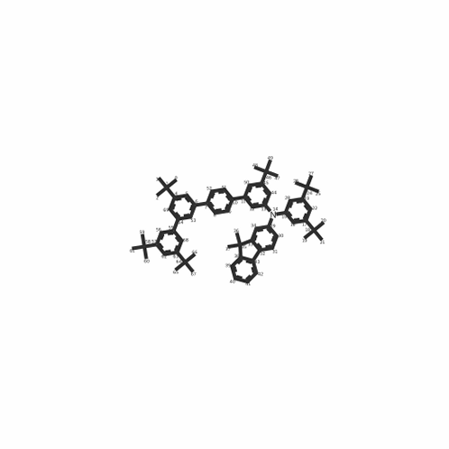 CC(C)(C)c1cc(-c2ccc(-c3cc(N(c4cc(C(C)(C)C)cc(C(C)(C)C)c4)c4ccc5c(c4)C(C)(C)c4ccccc4-5)cc(C(C)(C)C)c3)cc2)cc(-c2cc(C(C)(C)C)cc(C(C)(C)C)c2)c1